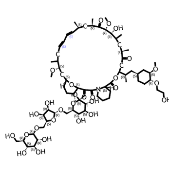 CO[C@H]1C[C@@H]2CC[C@@H](C)[C@@](O[C@@]3(C)O[C@H](CO[C@@H]4O[C@@H](CO[C@@H]5O[C@H](CO)[C@@H](O)[C@H](O)[C@H]5O)[C@@H](O)[C@H]4O)[C@@H](O)[C@H](O)[C@H]3O)(O2)C(=O)C(=O)N2CCCC[C@H]2C(=O)OC([C@H](C)C[C@@H]2CC[C@@H](OCCO)[C@H](OC)C2)CC(=O)[C@H](C)CC(C)[C@@H](O)[C@@H](OC)C(=O)[C@H](C)C[C@H](C)/C=C/C=C/CC1C